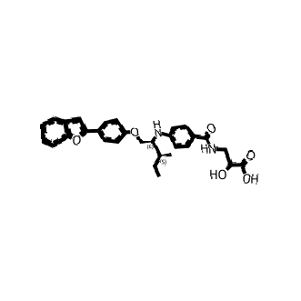 CC[C@H](C)[C@@H](COc1ccc(-c2cc3ccccc3o2)cc1)Nc1ccc(C(=O)NCC(O)C(=O)O)cc1